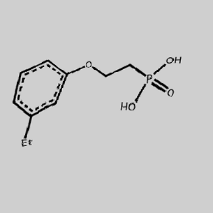 CCc1cccc(OCCP(=O)(O)O)c1